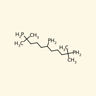 CC(C)(P)CCCC(P)CCCC(C)(C)P